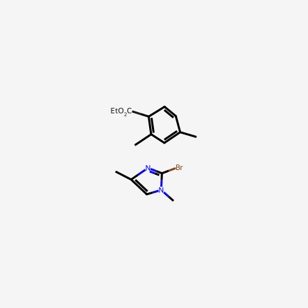 CCOC(=O)c1ccc(C)cc1C.Cc1cn(C)c(Br)n1